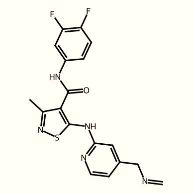 C=NCc1ccnc(Nc2snc(C)c2C(=O)Nc2ccc(F)c(F)c2)c1